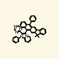 CC1(C)c2ccccc2-c2cc3c(-c4ccccc4)c4ccccc4c(C4=C(c5ncncn5)N(c5ccccc5)C5=CC=CCN54)c3cc21